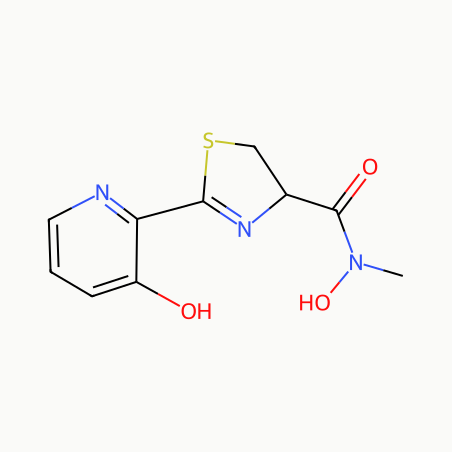 CN(O)C(=O)C1CSC(c2ncccc2O)=N1